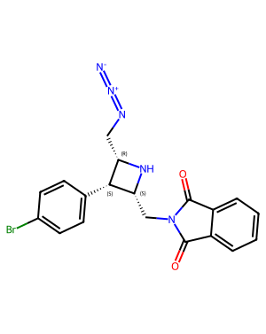 [N-]=[N+]=NC[C@@H]1N[C@H](CN2C(=O)c3ccccc3C2=O)[C@@H]1c1ccc(Br)cc1